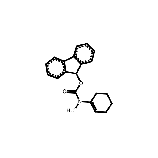 CN(C(=O)OC1c2ccccc2-c2ccccc21)C1=CCCCC1